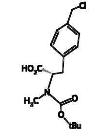 CN(C(=O)OC(C)(C)C)[C@@H](Cc1ccc(CCl)cc1)C(=O)O